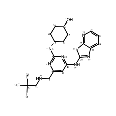 O[C@H]1CC[C@H](Nc2nc(CNCC(F)(F)F)cc(Nc3nc4cccnc4s3)n2)CC1